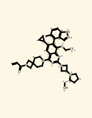 C=CC(=O)N1CC2(CCN(c3nc(N4CC(N5CCC[C@@H]5CO)C4)nc4c(OCC(F)(F)F)c(-c5c(C)ccc6[nH]ncc56)c(C5CC5)cc34)CC2)C1